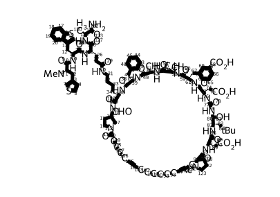 CN[C@@H](Cc1ccsc1)C(=O)N[C@@H](Cc1csc2ccccc12)C(=O)N[C@@H](CCC(=O)NCCCC[C@@H]1NC(=O)[C@H](Cc2ccccc2)NC(=O)[C@H](C)NC(=O)C(C)(C)NC(=O)[C@H](Cc2cccc(C(=O)O)c2)NC(=O)[C@H](CC(=O)O)NC(=O)NC(O)[C@H](CC(C)(C)C)NC(=O)[C@H](CC(=O)O)NC(=O)[C@]2(C/C=C\CCCCCC/C=C\CCCOC(=O)N3CC[C@@](C=O)(C3)NC1=O)CCCN2C(C)=O)C(=O)N[C@@H](C)C(N)=O